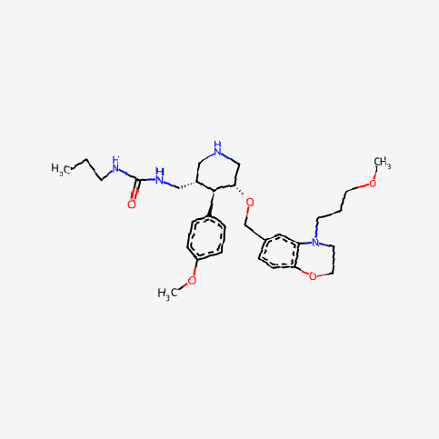 CCCNC(=O)NC[C@@H]1CNC[C@H](OCc2ccc3c(c2)N(CCCOC)CCO3)[C@H]1c1ccc(OC)cc1